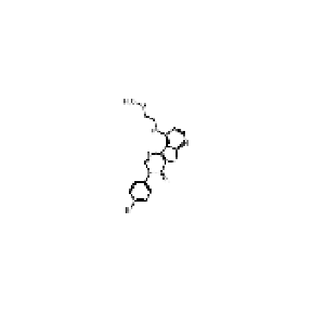 COCCNc1ccnc2sc3c(=O)n(-c4ccc(Br)cc4)cnc3c12